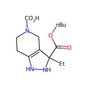 CCCCOC(=O)C1(CC)NNC2=C1CN(C(=O)O)CC2